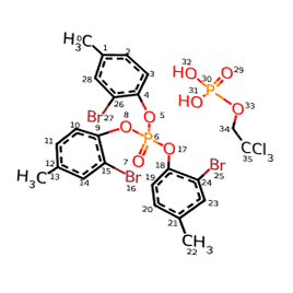 Cc1ccc(OP(=O)(Oc2ccc(C)cc2Br)Oc2ccc(C)cc2Br)c(Br)c1.O=P(O)(O)OCC(Cl)(Cl)Cl